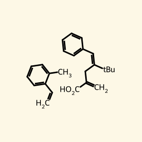 C=C(CC(=Cc1ccccc1)C(C)(C)C)C(=O)O.C=Cc1ccccc1C